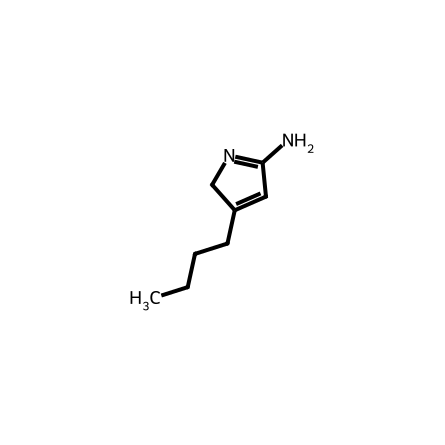 CCCCC1=CC(N)=NC1